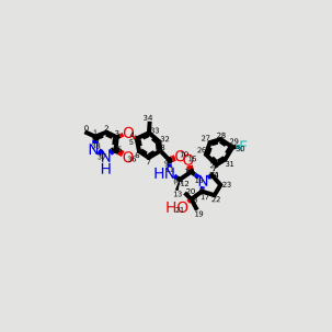 Cc1cc(Oc2ccc(C(=O)N[C@H](C)C(=O)N3C(C(C)(C)O)CC[C@H]3c3cccc(F)c3)cc2C)c(=O)[nH]n1